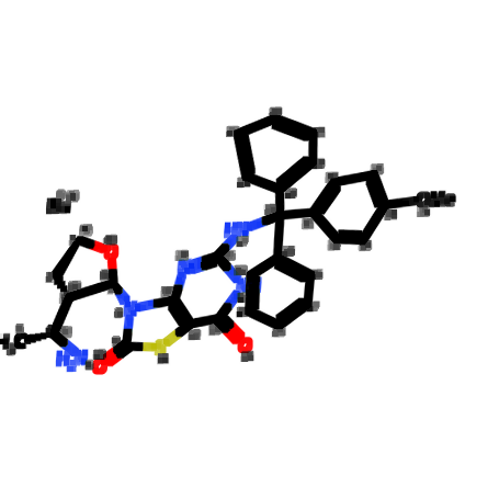 CC[C@H](C)[C@@H]1C[C@@H]([C@@H](C)N)[C@H](n2c(=O)sc3c(=O)[nH]c(NC(c4ccccc4)(c4ccccc4)c4ccc(OC)cc4)nc32)O1